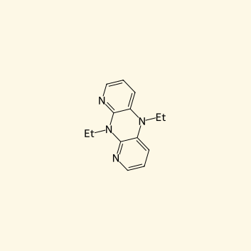 CCN1c2cccnc2N(CC)c2ncccc21